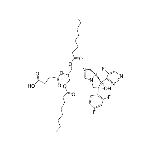 CCCCCCCC(=O)OCC(COC(=O)CCCCCCC)OC(=O)CCC(=O)O.C[C@@H](c1ncncc1F)C(O)(Cn1cncn1)c1ccc(F)cc1F